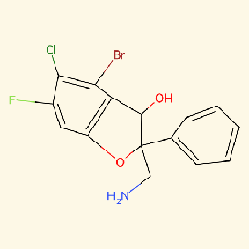 NCC1(c2ccccc2)Oc2cc(F)c(Cl)c(Br)c2C1O